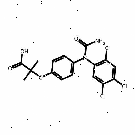 CC(C)(Oc1ccc(N(C(N)=O)c2cc(Cl)c(Cl)cc2Cl)cc1)C(=O)O